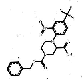 O=C(O)C1CN(C(=O)OCc2ccccc2)CCN1c1ccc(C(F)(F)F)cc1[N+](=O)[O-]